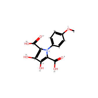 COc1ccc(-n2c(C(=O)O)c(O)c(O)c2C(=O)O)cc1